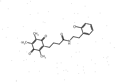 CC1=C(C)C(=O)C(CCCC(=O)NCCc2ccccc2Cl)=C(C)C1=O